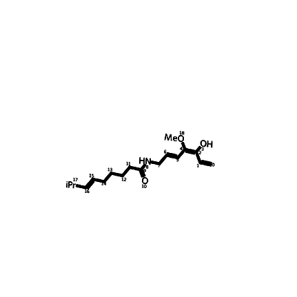 C=C/C(O)=C(\C=C\CNC(=O)CCCC/C=C/C(C)C)OC